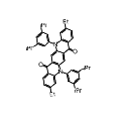 CCc1ccc2c(=O)c3cc4c(cc3n(-c3cc(C(C)C)cc(C(C)C)c3)c2c1)c(=O)c1ccc(CC)cc1n4-c1cc(C(C)C)cc(C(C)C)c1